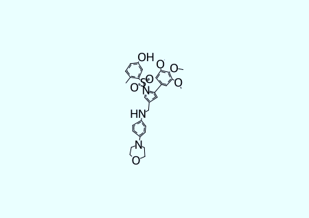 COc1cc(-c2cc(CNc3ccc(N4CCOCC4)cc3)cn2S(=O)(=O)c2cc(O)ccc2C)cc(OC)c1OC